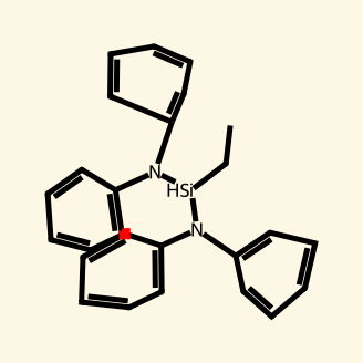 CC[SiH](N(c1ccccc1)c1ccccc1)N(c1ccccc1)c1ccccc1